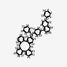 c1ccc(-c2ccc3c(-c4ccc(N(c5ccccc5)c5ccc6c(c5)-c5ccccc5Cc5ccccc5-c5ccccc5C6)cc4)cccc3c2)cc1